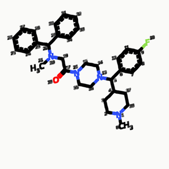 CN1CCC(C(c2ccc(F)cc2)N2CCN(C(=O)CN(C)C(c3ccccc3)c3ccccc3)CC2)CC1